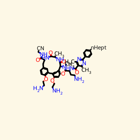 CCCCCCCc1ccc(-c2nc(C)c(C(=O)NC(CCN)C(=O)N(C)C3C(=O)NC(C)C(=O)NC(C(=O)NCC#N)Cc4ccc(OCCN)c(c4)-c4cc3ccc4OCCN)c(C)n2)cc1